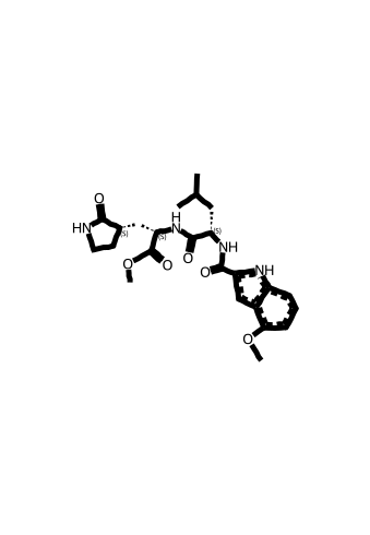 COC(=O)[C@H](C[C@@H]1CCNC1=O)NC(=O)[C@H](CC(C)C)NC(=O)c1cc2c(OC)cccc2[nH]1